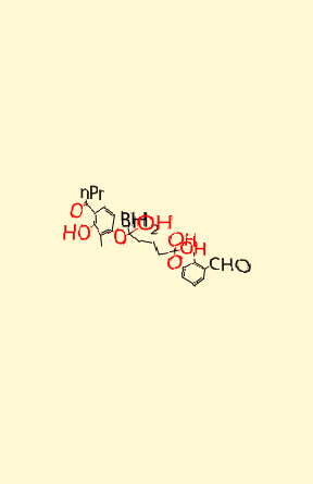 BC(O)(CCCC(O)(O)Oc1cccc(C=O)c1C)Oc1ccc(C(=O)CCC)c(O)c1C